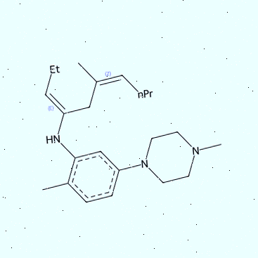 CC/C=C(\C/C(C)=C\CCC)Nc1cc(N2CCN(C)CC2)ccc1C